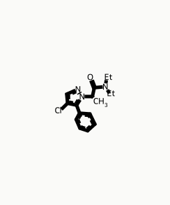 CCN(CC)C(=O)C(C)n1ncc(Cl)c1-c1ccccc1